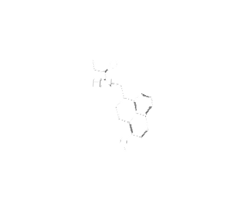 CCC(=O)NCC1CCc2c(OC)ccc3cccc1c23